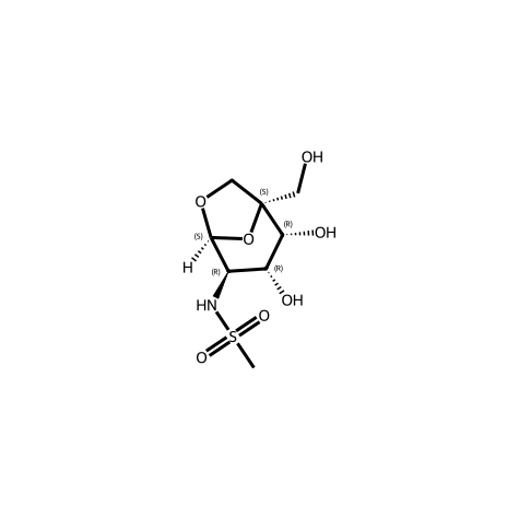 CS(=O)(=O)N[C@H]1[C@H]2OC[C@](CO)(O2)[C@H](O)[C@@H]1O